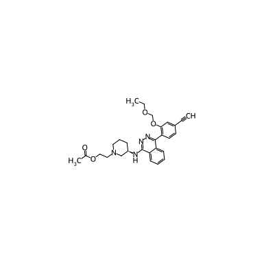 C#Cc1ccc(-c2nnc(N[C@@H]3CCCN(CCOC(C)=O)C3)c3ccccc23)c(OCOCC)c1